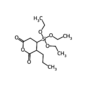 CCCC1C(=O)OC(=O)CC1[Si](OCC)(OCC)OCC